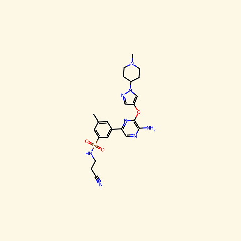 Cc1cc(-c2cnc(N)c(Oc3cnn(C4CCN(C)CC4)c3)n2)cc(S(=O)(=O)NCCC#N)c1